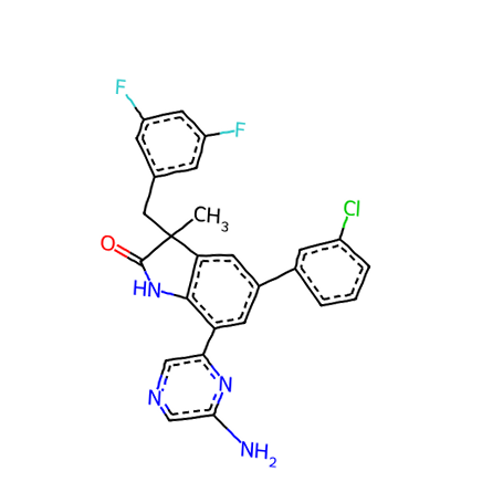 CC1(Cc2cc(F)cc(F)c2)C(=O)Nc2c(-c3cncc(N)n3)cc(-c3cccc(Cl)c3)cc21